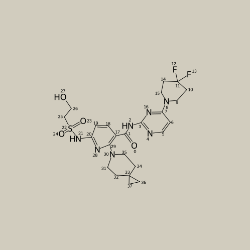 O=C(Nc1nccc(N2CCC(F)(F)CC2)n1)c1ccc(NS(=O)(=O)CCO)nc1N1CCC2(CC1)CC2